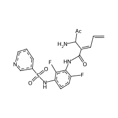 C=C/C=C(/C(=O)Nc1c(F)ccc(NS(=O)(=O)c2cccnc2)c1F)C(N)C(C)=O